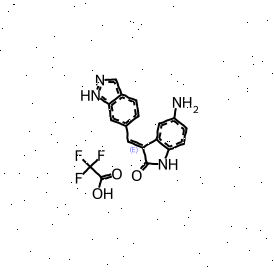 Nc1ccc2c(c1)/C(=C\c1ccc3cn[nH]c3c1)C(=O)N2.O=C(O)C(F)(F)F